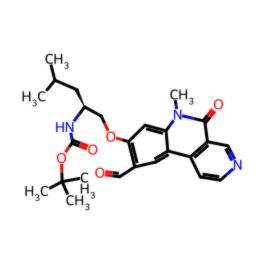 CC(C)C[C@@H](COc1cc2c(cc1C=O)c1ccncc1c(=O)n2C)NC(=O)OC(C)(C)C